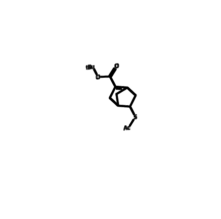 CC(=O)SC1CC2=C(C(=O)OC(C)(C)C)CC1C2